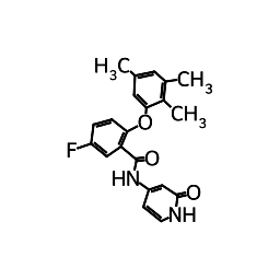 Cc1cc(C)c(C)c(Oc2ccc(F)cc2C(=O)Nc2cc[nH]c(=O)c2)c1